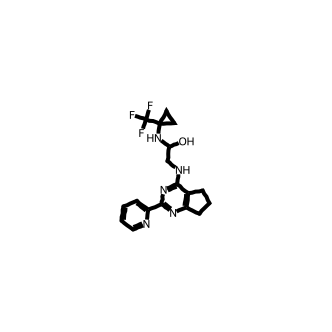 OC(CNc1nc(-c2ccccn2)nc2c1CCC2)NC1(C(F)(F)F)CC1